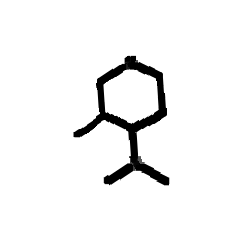 CC1C[N]CCC1N(C)C